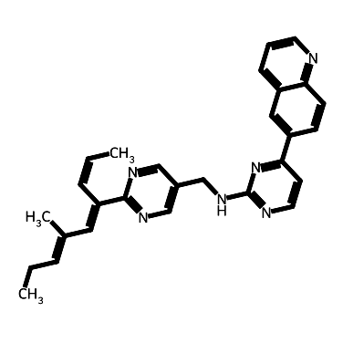 C\C=C/C(=C\C(C)=C\CC)c1ncc(CNc2nccc(-c3ccc4ncccc4c3)n2)cn1